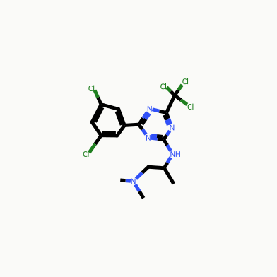 CC(CN(C)C)Nc1nc(-c2cc(Cl)cc(Cl)c2)nc(C(Cl)(Cl)Cl)n1